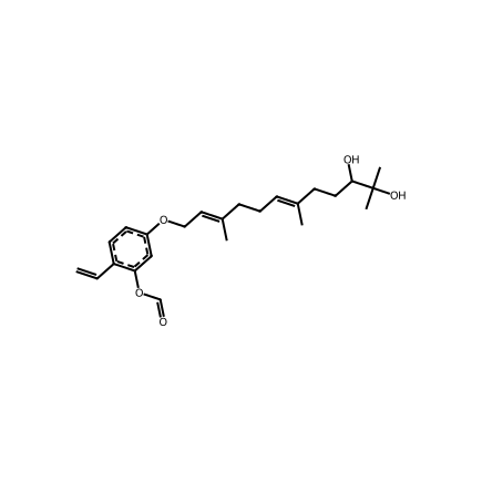 C=Cc1ccc(OC/C=C(\C)CC/C=C(\C)CCC(O)C(C)(C)O)cc1OC=O